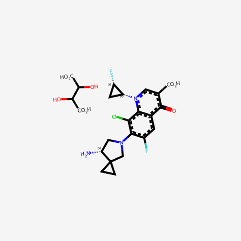 N[C@@H]1CN(c2c(F)cc3c(=O)c(C(=O)O)cn([C@@H]4C[C@@H]4F)c3c2Cl)CC12CC2.O=C(O)C(O)C(O)C(=O)O